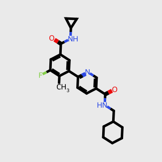 Cc1c(F)cc(C(=O)NC2CC2)cc1-c1ccc(C(=O)NCC2CCCCC2)cn1